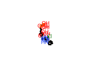 CC[C@@]1(C)C(Nc2nc(Cl)nc3c2ncn3[C@@H]2OCC(O)(CCCP(=O)(O)CP(=O)(O)O)C2O)CCC1(C)C